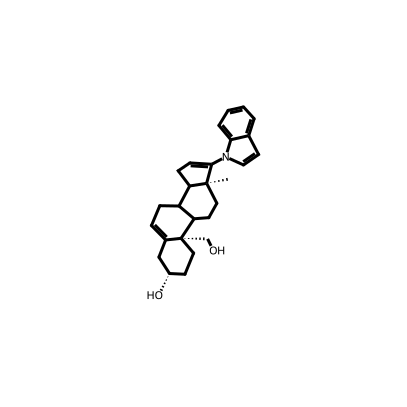 C[C@]12CCC3C(CC=C4C[C@@H](O)CC[C@@]43CO)C1CC=C2n1ccc2ccccc21